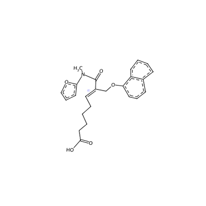 CN(C(=O)/C(=C/CCCCC(=O)O)COc1cccc2ccccc12)c1ccco1